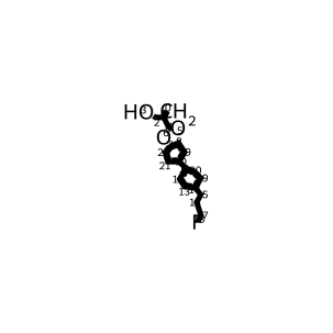 C=C(CO)C(=O)Oc1ccc(-c2ccc(CCCF)cc2)cc1